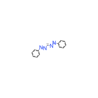 [C](N=Nc1ccccc1)N=Nc1ccccc1